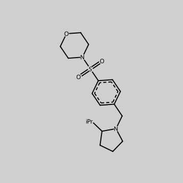 CC(C)C1CCCN1Cc1ccc(S(=O)(=O)N2CCOCC2)cc1